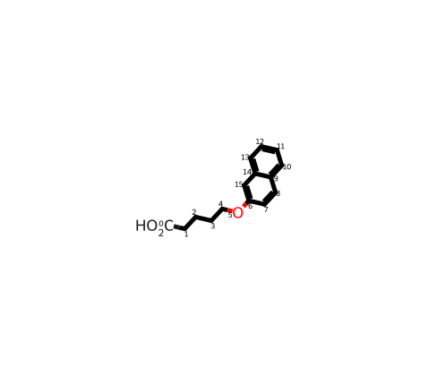 O=C(O)CCCCOc1ccc2ccccc2c1